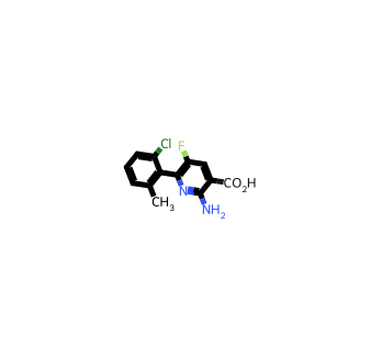 Cc1cccc(Cl)c1-c1nc(N)c(C(=O)O)cc1F